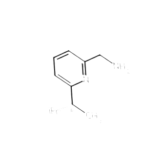 CC(C)[C@@H](C)c1cccc(CN)n1